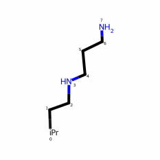 CC(C)CCNCCCN